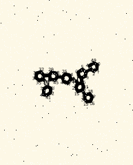 c1ccc(-c2ccc3c(c2)c2cc(-c4ccccc4)ccc2n3-c2ccc(-c3ccc4c5ccccc5n(-c5ccccc5)c4c3)cc2)cc1